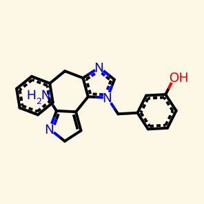 NC1=NCC=C1c1c(Cc2ccccc2)ncn1Cc1cccc(O)c1